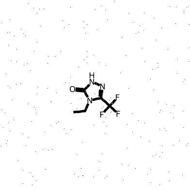 CCn1c(C(F)(F)F)n[nH]c1=O